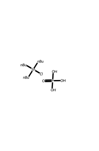 CCC[CH2][Sn]([Cl])([CH2]CCC)[CH2]CCC.O=P(O)(O)O